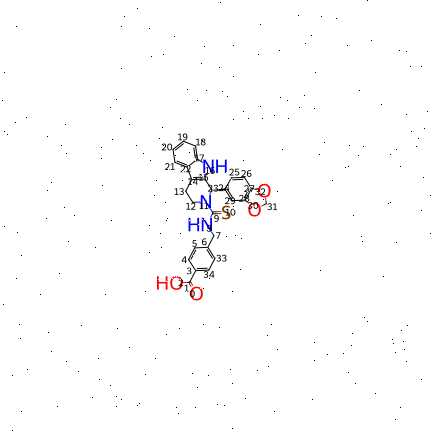 O=C(O)c1ccc(CNC(=S)N2CCc3c([nH]c4ccccc34)[C@H]2c2ccc3c(c2)OCO3)cc1